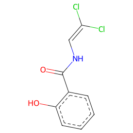 O=C(NC=C(Cl)Cl)c1ccccc1O